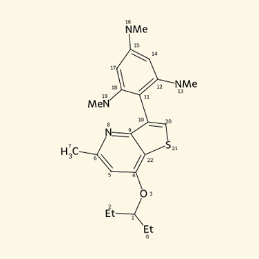 CCC(CC)Oc1cc(C)nc2c(-c3c(NC)cc(NC)cc3NC)csc12